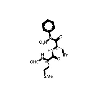 CSCC[C@H](NC=O)C(=O)N[C@@H](CC(C)C)C(=O)N(c1ccccc1)[N+](=O)[O-]